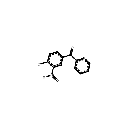 O=C(c1ccc(Cl)c([N+](=O)[O-])c1)c1ccccn1